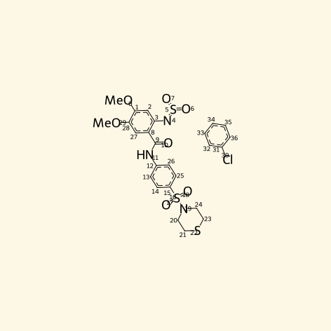 COc1cc(N=S(=O)=O)c(C(=O)Nc2ccc(S(=O)(=O)N3CCSCC3)cc2)cc1OC.Clc1ccccc1